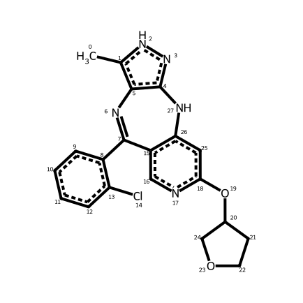 Cc1[nH]nc2c1N=C(c1ccccc1Cl)c1cnc(OC3CCOC3)cc1N2